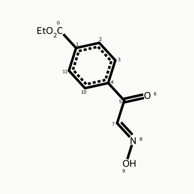 CCOC(=O)c1ccc(C(=O)C=NO)cc1